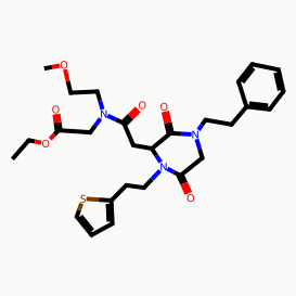 CCOC(=O)CN(CCOC)C(=O)CC1C(=O)N(CCc2ccccc2)CC(=O)N1CCc1cccs1